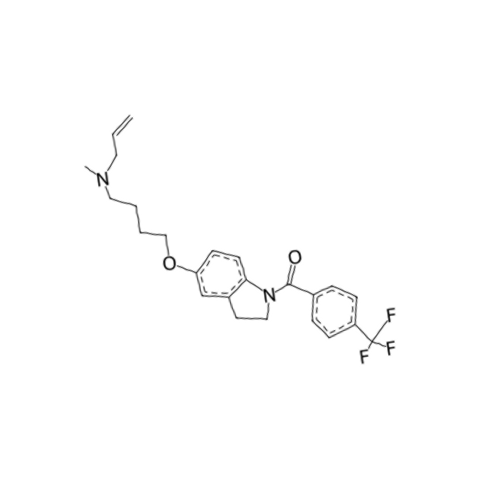 C=CCN(C)CCCCOc1ccc2c(c1)CCN2C(=O)c1ccc(C(F)(F)F)cc1